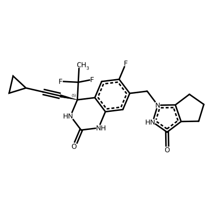 CC(F)(F)[C@@]1(C#CC2CC2)NC(=O)Nc2cc(Cn3[nH]c(=O)c4c3CCC4)c(F)cc21